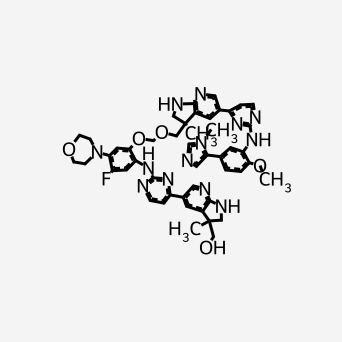 COc1ccc(-c2cncn2C)cc1Nc1nccc(-c2cnc3c(c2)C(C)(COCOc2cc(N4CCOCC4)c(F)cc2Nc2nccc(-c4cnc5c(c4)C(C)(CO)CN5)n2)CN3)n1